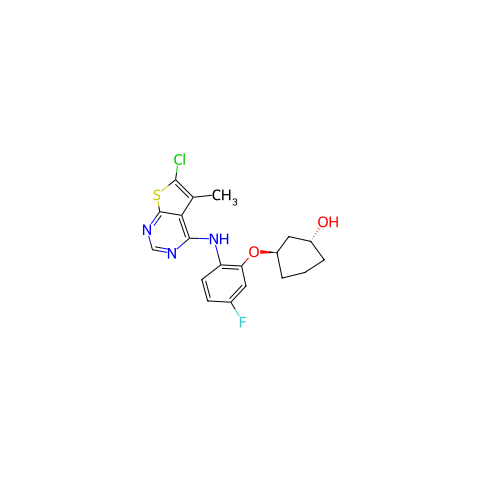 Cc1c(Cl)sc2ncnc(Nc3ccc(F)cc3O[C@@H]3CCC[C@@H](O)C3)c12